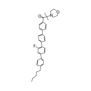 CCCCCc1ccc(-c2ccc(-c3ccc(-c4ccc(C(=O)C(C)(C)N5CCOCC5)cc4)cc3)c(F)c2)cc1